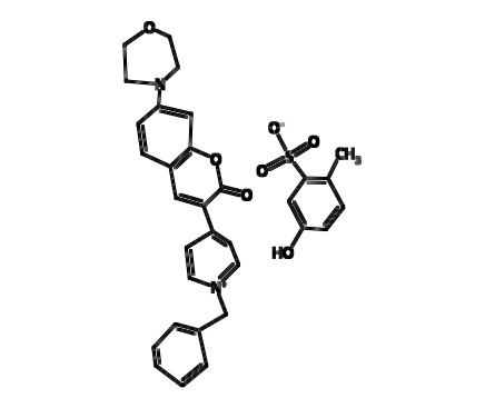 Cc1ccc(O)cc1S(=O)(=O)[O-].O=c1oc2cc(N3CCOCC3)ccc2cc1-c1cc[n+](Cc2ccccc2)cc1